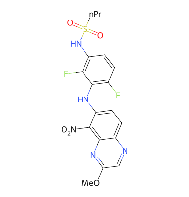 CCCS(=O)(=O)Nc1ccc(F)c(Nc2ccc3ncc(OC)nc3c2[N+](=O)[O-])c1F